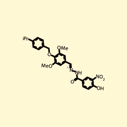 COc1cc(/C=N/NC(=O)c2ccc(O)c([N+](=O)[O-])c2)cc(OC)c1OCc1ccc(C(C)C)cc1